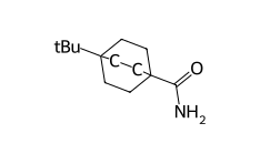 CC(C)(C)C12CCC(C(N)=O)(CC1)CC2